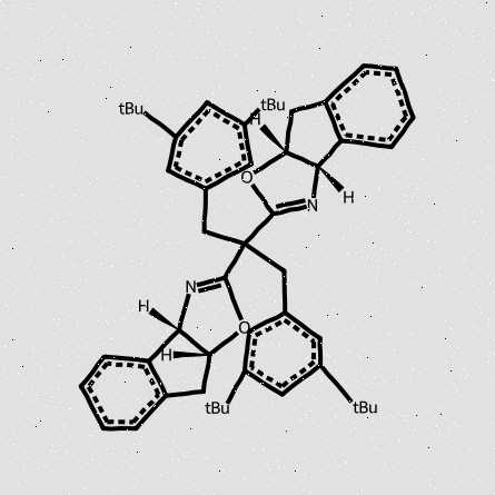 CC(C)(C)c1cc(CC(Cc2cc(C(C)(C)C)cc(C(C)(C)C)c2)(C2=N[C@H]3c4ccccc4C[C@H]3O2)C2=N[C@H]3c4ccccc4C[C@H]3O2)cc(C(C)(C)C)c1